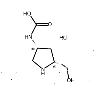 Cl.O=C(O)N[C@H]1CN[C@@H](CO)C1